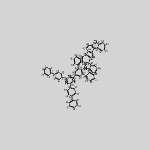 c1ccc(-c2ccc(-c3nc(-c4ccc(-c5ccccc5)cc4)nc(-c4cc(-c5ccccc5)c(-n5c6ccccc6c6c7sc8c(ccc9oc%10ccccc%10c98)c7ccc65)c(-c5ccccc5)c4)n3)cc2)cc1